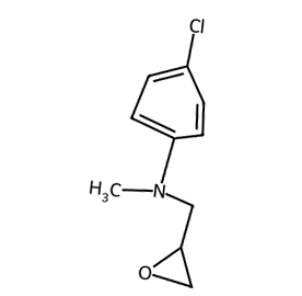 CN(CC1CO1)c1ccc(Cl)cc1